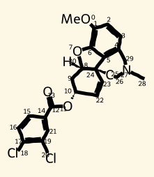 COc1ccc2c3c1O[C@H]1C[C@@H](OC(=O)c4ccc(Cl)c(Cl)c4)C=C[C@@]31CCN(C)C2